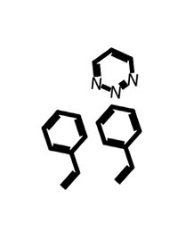 C=Cc1ccccc1.C=Cc1ccccc1.c1cnnnc1